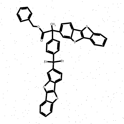 CCC(CC)(c1ccc(C(C)(C(=O)OCc2ccccc2)c2ccc3c(c2)sc2c4ccccc4sc32)cc1)c1ccc2c(c1)sc1c3ccccc3sc21